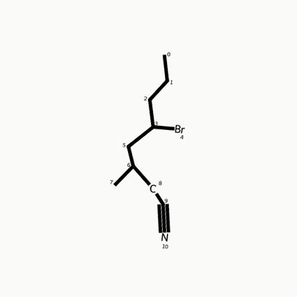 CCCC(Br)CC(C)CC#N